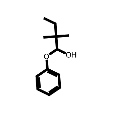 CCC(C)(C)C(O)Oc1ccccc1